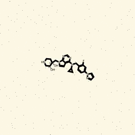 O[C@@H]1CNCC[C@@]1(O)Cn1ccc2c(N(Cc3ccc(-n4cccn4)cc3F)C3CC3)ncnc21